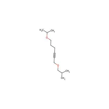 CC(C)COCC#CCCCOC(C)C